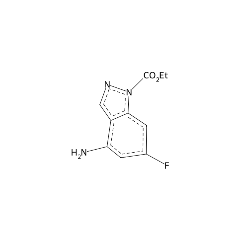 CCOC(=O)n1ncc2c(N)cc(F)cc21